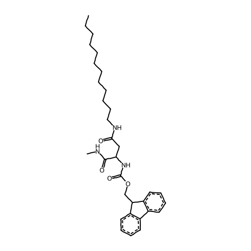 CCCCCCCCCCCCNC(=O)CC(NC(=O)OCC1c2ccccc2-c2ccccc21)C(=O)NC